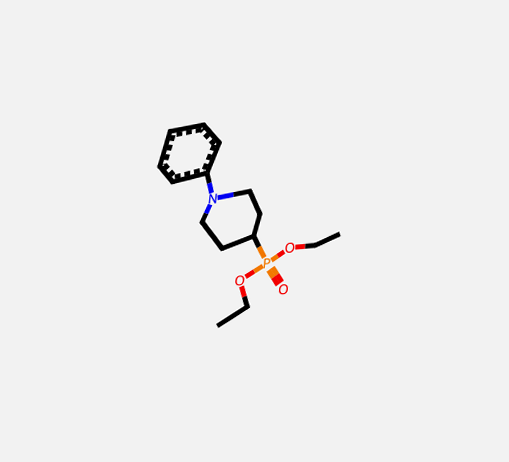 CCOP(=O)(OCC)C1CCN(c2ccccc2)CC1